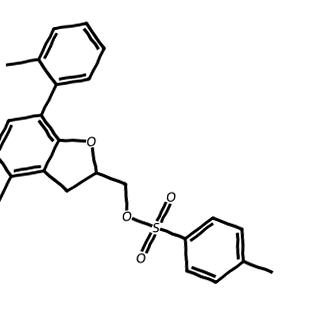 Cc1ccc(S(=O)(=O)OCC2Cc3c(F)ccc(-c4ccccc4C)c3O2)cc1